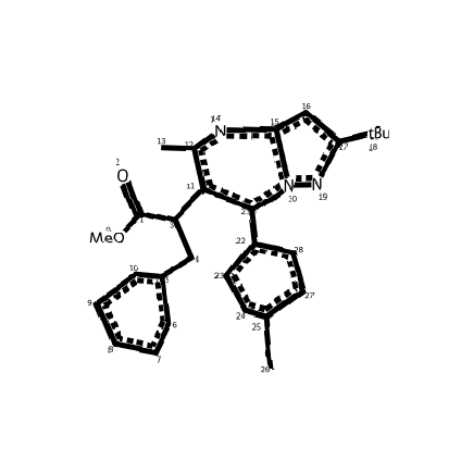 COC(=O)C(Cc1ccccc1)c1c(C)nc2cc(C(C)(C)C)nn2c1-c1ccc(C)cc1